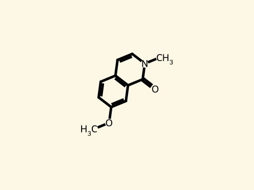 COc1ccc2ccn(C)c(=O)c2c1